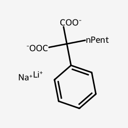 CCCCCC(C(=O)[O-])(C(=O)[O-])c1ccccc1.[Li+].[Na+]